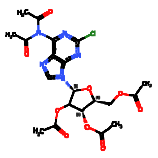 CC(=O)OC[C@H]1O[C@@H](n2cnc3c(N(C(C)=O)C(C)=O)nc(Cl)nc32)C(OC(C)=O)[C@H]1OC(C)=O